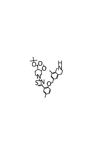 CO[C@H]1CN(c2nc(-c3cc(C)ccc3OCc3cc(C)c4c(c3)CCNC4)cs2)CC[C@H]1C(=O)OC(C)(C)C